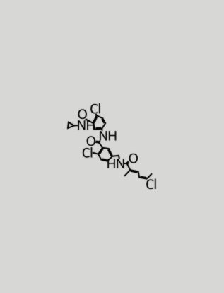 C/C(Cl)=C\C=C(/C)C(=O)NCc1ccc(Cl)c(C(=O)Nc2ccc(Cl)c(C(=O)NC3CC3)c2)c1